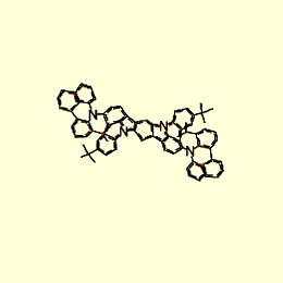 CC(C)c1cccc(-c2ccccc2)c1N(c1ccccc1)c1ccc2c3cc4c(cc3n3c5ccc(C(C)(C)C)cc5c1c23)c1ccc(N(c2ccccc2)c2c(-c3ccccc3)cccc2C(C)C)c2c3cc(C(C)(C)C)ccc3n4c12